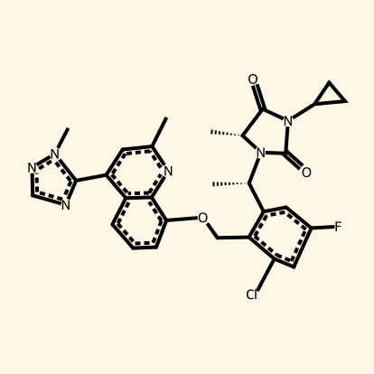 Cc1cc(-c2ncnn2C)c2cccc(OCc3c(Cl)cc(F)cc3[C@H](C)N3C(=O)N(C4CC4)C(=O)[C@H]3C)c2n1